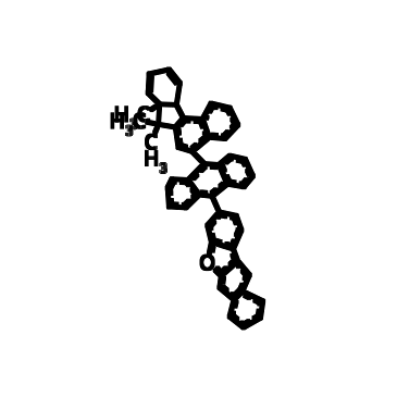 CC1(C)c2cc(-c3c4ccccc4c(-c4ccc5c(c4)oc4cc6ccccc6cc45)c4ccccc34)c3ccccc3c2C2C=CC=CC21C